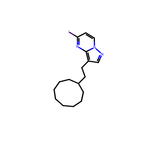 Ic1ccn2ncc(CCC3CCCCCCCC3)c2n1